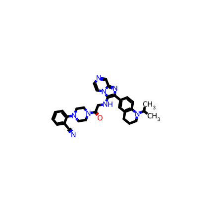 CC(C)N1CCCc2cc(-c3nc4cnccn4c3NCC(=O)N3CCN(c4ccccc4C#N)CC3)ccc21